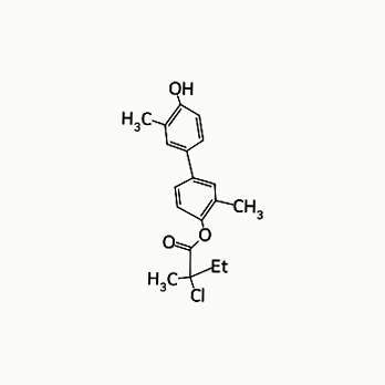 CCC(C)(Cl)C(=O)Oc1ccc(-c2ccc(O)c(C)c2)cc1C